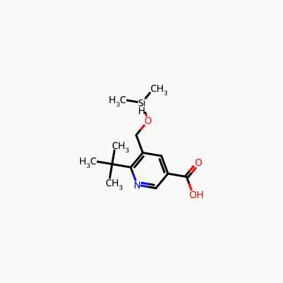 C[SiH](C)OCc1cc(C(=O)O)cnc1C(C)(C)C